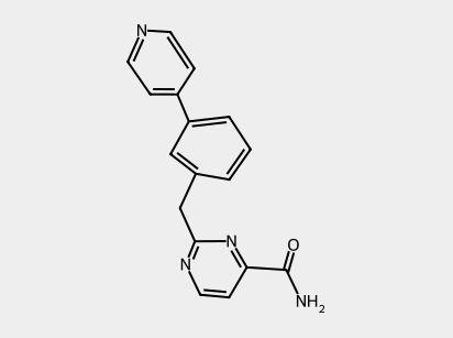 NC(=O)c1ccnc(Cc2cccc(-c3ccncc3)c2)n1